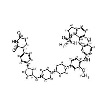 COc1cc(N2CCC(N3CCN(C[C@H]4CCN(c5ccc(C6CCC(=O)NC6=O)cc5)C4)CC3)CC2)ccc1Nc1ncc(Cl)c(Nc2cccc3c2N(S(C)(=O)=O)CC3)n1